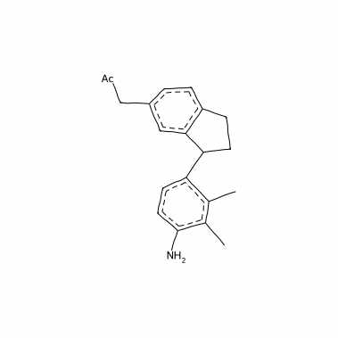 CC(=O)Cc1ccc2c(c1)C(c1ccc(N)c(C)c1C)CC2